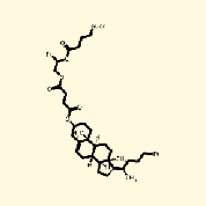 CCCCCCCCCCCCCC(=O)OC(CC)COC(=O)CCC(=O)O[C@H]1CC[C@@]2(C)C(=CC[C@H]3[C@@H]4CC[C@H]([C@H](C)CCCC(C)C)[C@@]4(C)CC[C@@H]32)C1